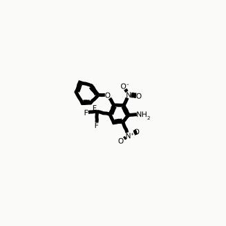 Nc1c([N+](=O)[O-])cc(C(F)(F)F)c(Oc2ccccc2)c1[N+](=O)[O-]